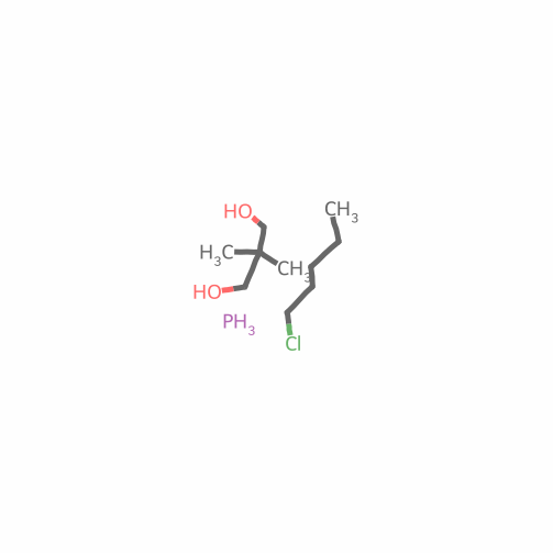 CC(C)(CO)CO.CCCCCCl.P